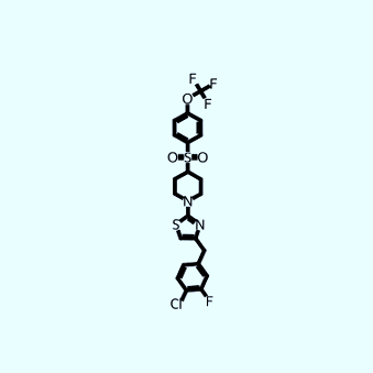 O=S(=O)(c1ccc(OC(F)(F)F)cc1)C1CCN(c2nc(Cc3ccc(Cl)c(F)c3)cs2)CC1